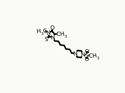 CC1C(=O)N(C)C(=S)N1CCCCCCCN1CCN(S(C)(=O)=O)CC1